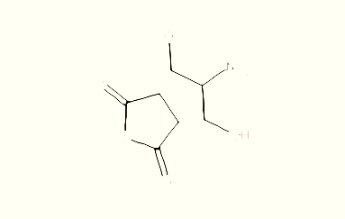 NC(CO)CO.O=C1CCC(=O)O1